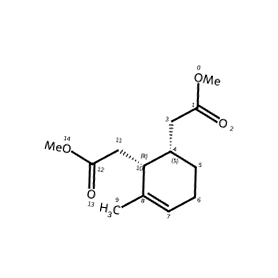 COC(=O)C[C@@H]1CCC=C(C)[C@@H]1CC(=O)OC